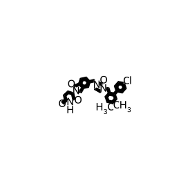 CC1(C)CCC(CN2CCN(Cc3ccc4c(c3)CN(C3CCC(=O)NC3=O)C4=O)C2=O)=C(c2ccc(Cl)cc2)C1